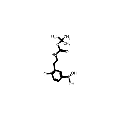 CC(C)(C)OC(=O)NCCc1cc(B(O)O)ccc1Cl